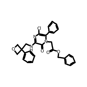 O=C(Cn1c(-c2ccccc2)c(Cl)nc(NCC2(c3ccccc3)COC2)c1=O)OCc1ccccc1